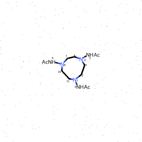 CC(=O)NN1CCN(NC(C)=O)CCN(NC(C)=O)CC1